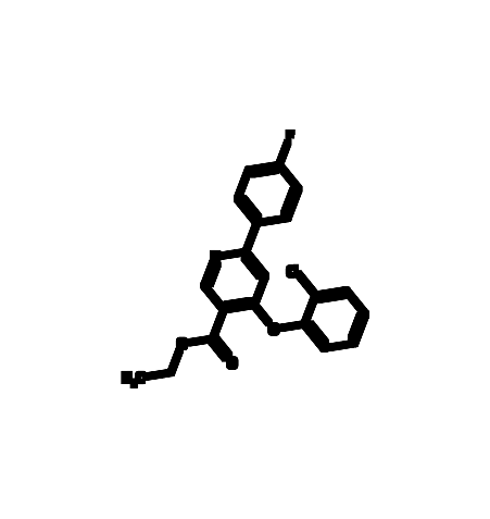 CCOC(=O)c1cnc(-c2ccc(F)cc2)cc1Oc1ccccc1Cl